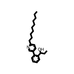 CCCCCCCCCCc1ccc(-c2ccccc2C(O)CC)cn1